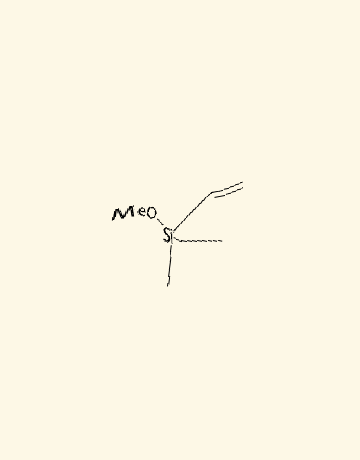 C=C[Si](C)(C)OC